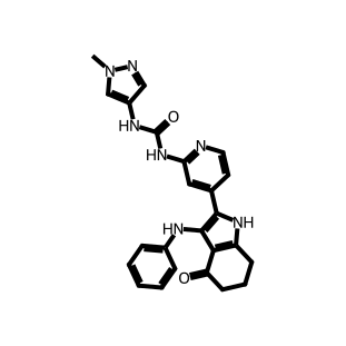 Cn1cc(NC(=O)Nc2cc(-c3[nH]c4c(c3Nc3ccccc3)C(=O)CCC4)ccn2)cn1